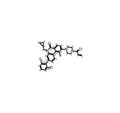 C=CC(=O)N1CCN(c2ccc3c(=O)n(CC4CC4)c4cc(-c5c(F)cccc5Cl)ccc4c3c2F)CC1